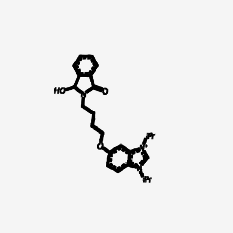 CC(C)n1c[n+](C(C)C)c2cc(OCCCCN3C(=O)c4ccccc4C3O)ccc21